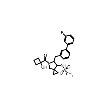 CS(=O)(=O)NC1C(Cc2cccc(-c3cccc(F)c3)c2)N(C(=O)C2(O)CCC2)CC12CC2